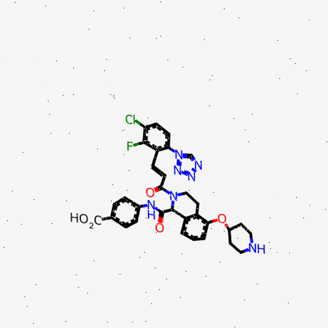 O=C(O)c1ccc(NC(=O)C2c3cccc(OC4CCNCC4)c3CCN2C(=O)/C=C/c2c(-n3cnnn3)ccc(Cl)c2F)cc1